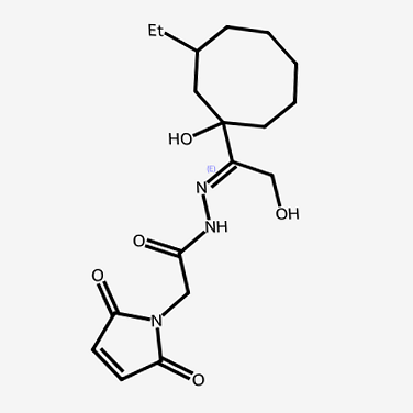 CCC1CCCCCC(O)(/C(CO)=N/NC(=O)CN2C(=O)C=CC2=O)C1